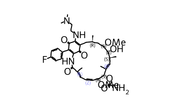 CO[C@H]1C[C@H](C)CC2=C(NCCN(C)C)C(=O)C(c3ccc(F)cc3)=C(NC(=O)/C(C)=C/C=C\[C@@H](OC)[C@@H](OC(N)=O)/C(C)=C/[C@H](C)[C@H]1O)C2=O